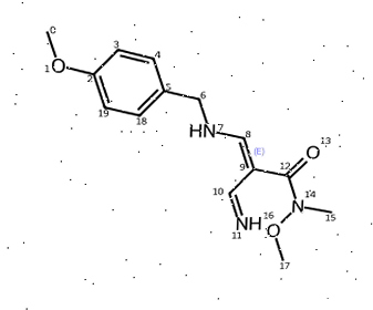 COc1ccc(CN/C=C(\C=N)C(=O)N(C)OC)cc1